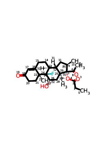 CCC(=O)O[C@@]1(C(C)=O)[C@H](C)C[C@H]2[C@@H]3CCC4=CC(=O)CC[C@]4(C)[C@@]3(F)[C@@H](O)C[C@@]21C